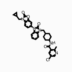 Cc1ncc(Cl)cc1C(=O)NC1CCC(Cn2c(=O)n(-c3ccc4c(c3)oc(=O)n4CC3CC3)c3ccccc32)CC1